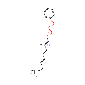 C/C(=C\COCOc1ccccc1)CC/C=C/CC(Cl)(Cl)Cl